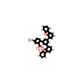 COC(=O)c1cc(Br)ccc1-c1cc(-c2cccc3c4c(oc23)=CCCC=4)cc(-c2cccc3c2oc2ccccc23)c1